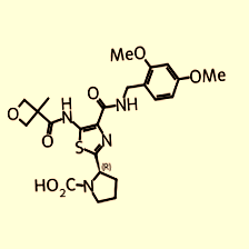 COc1ccc(CNC(=O)c2nc([C@H]3CCCN3C(=O)O)sc2NC(=O)C2(C)COC2)c(OC)c1